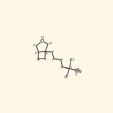 CC(C)(C)C(F)(F)CCCCC12CCC1COC2